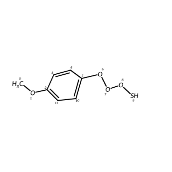 COc1ccc(OOOS)cc1